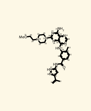 C=C(C)c1cc(NC(=O)c2ccc(C)c(Nc3ncnc4c(N)nc(N5CCN(CCOC)CC5)nc34)c2)[nH]n1